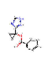 O=C(OC1(c2nc[nH]n2)CC1)c1ccccc1